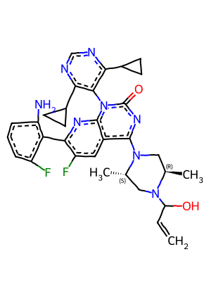 C=CC(O)N1C[C@H](C)N(c2nc(=O)n(-c3c(C4CC4)ncnc3C3CC3)c3nc(-c4c(N)cccc4F)c(F)cc23)C[C@H]1C